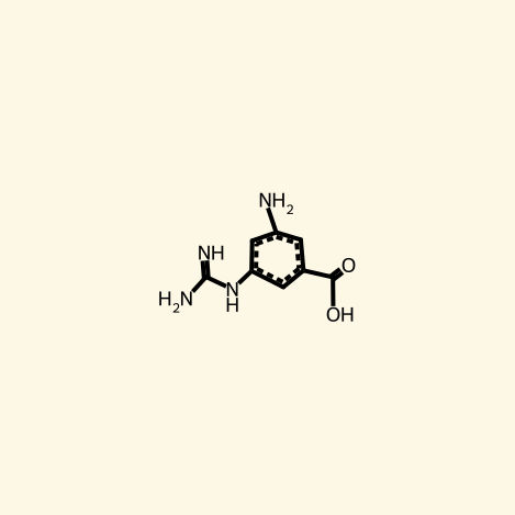 N=C(N)Nc1cc(N)cc(C(=O)O)c1